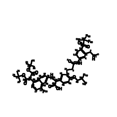 CNCc1cc(NC(=O)CCc2cc(C(Nc3ccc4c(N(C(=O)OC(C)(C)C)C(=O)OC(C)(C)C)ncc(F)c4c3)C(=O)O)ccc2OCC(F)F)ccc1S(=O)(=O)C(F)(F)F